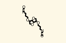 O=C=NCCCO[C@@H]1COC2C1OC[C@H]2OCCCN=C=O